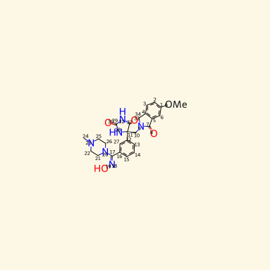 COc1ccc2c(c1)C(=O)N(C[C@@]1(c3cccc(/C(=N/O)N4CCN(C)CC4)c3)NC(=O)NC1=O)C2